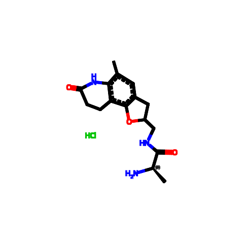 Cc1cc2c(c3c1NC(=O)CC3)OC(CNC(=O)[C@@H](C)N)C2.Cl